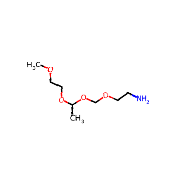 COCCOC(C)OCOCCN